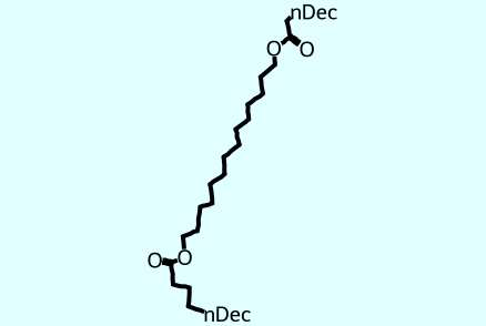 CCCCCCCCCCCCCC(=O)OCCCCCCCCCCCCCCOC(=O)CCCCCCCCCCC